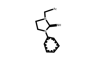 CC(=O)CN1CCN(c2ccccc2)C1=N